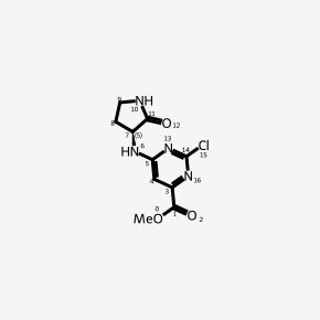 COC(=O)c1cc(N[C@H]2CCNC2=O)nc(Cl)n1